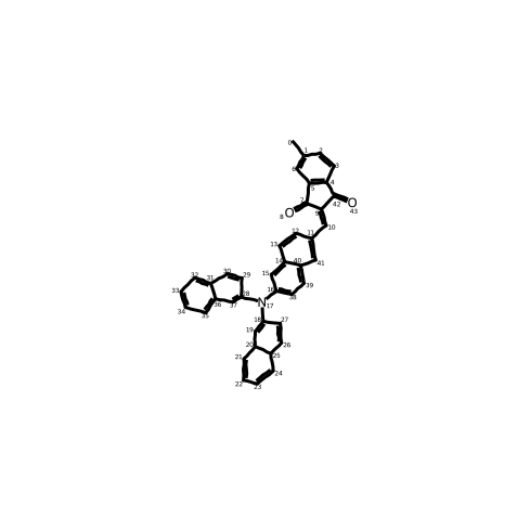 Cc1ccc2c(c1)C(=O)/C(=C\c1ccc3cc(N(C4=CC5C=CC=CC5C=C4)c4ccc5ccccc5c4)ccc3c1)C2=O